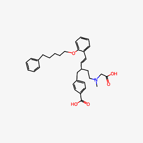 CN(CCC(/C=C/c1ccccc1OCCCCCc1ccccc1)Cc1ccc(C(=O)O)cc1)CC(=O)O